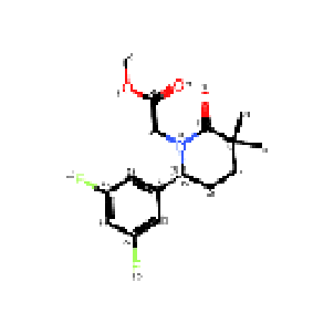 COC(=O)CN1C(=O)C(C)(C)CC[C@H]1c1cc(F)cc(F)c1